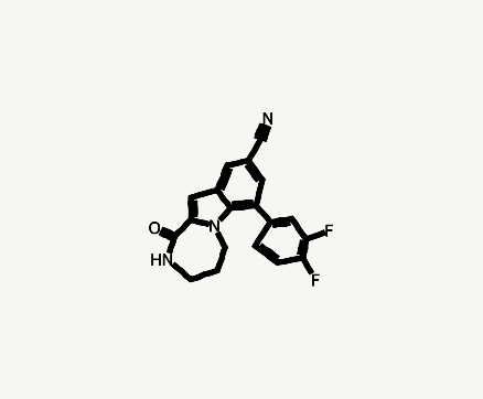 N#Cc1cc(-c2ccc(F)c(F)c2)c2c(c1)cc1n2CCCNC1=O